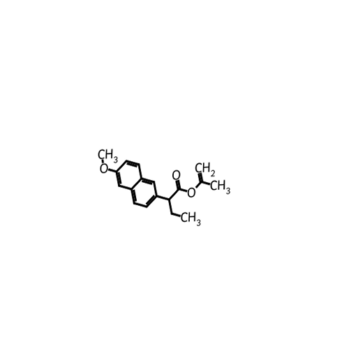 C=C(C)OC(=O)C(CC)c1ccc2cc(OC)ccc2c1